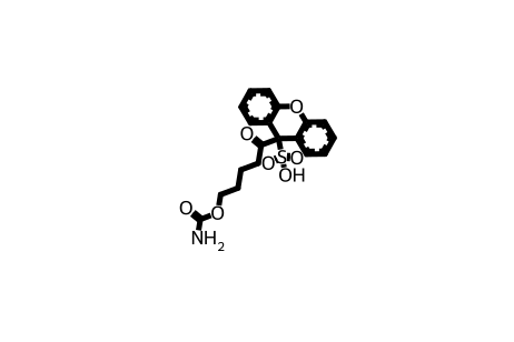 NC(=O)OCCCCC(=O)C1(S(=O)(=O)O)c2ccccc2Oc2ccccc21